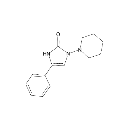 O=c1[nH]c(-c2ccccc2)cn1N1CCCCC1